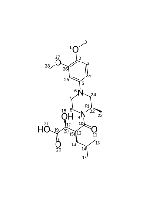 COc1ccc(N2CCN(C(=O)[C@@H](CC(C)C)[C@H](O)C(=O)O)[C@H](C)C2)cc1OC